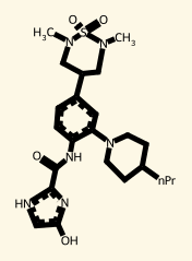 CCCC1CCN(c2cc(C3CN(C)S(=O)(=O)N(C)C3)ccc2NC(=O)c2nc(O)c[nH]2)CC1